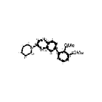 COc1cccc(-c2ccc3ncc(N4CCCCC4)nc3c2)c1OC